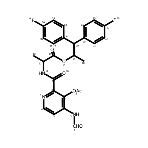 CC(=O)Oc1c(NC=O)ccnc1C(=O)NC(C)C(=O)OC(C)C(c1ccc(F)cc1)c1ccc(F)cc1